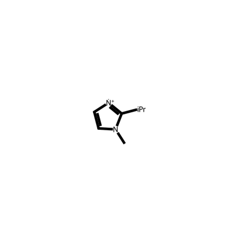 CC(C)C1=[N+]C=CN1C